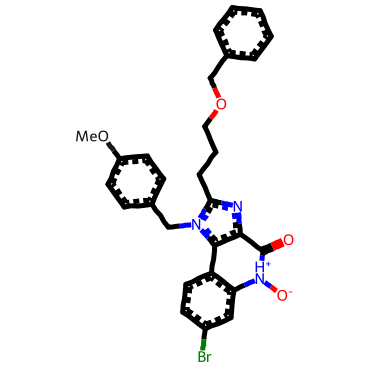 COc1ccc(Cn2c(CCCOCc3ccccc3)nc3c2-c2ccc(Br)cc2[NH+]([O-])C3=O)cc1